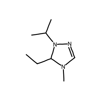 CCC1N(C)C=NN1C(C)C